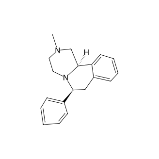 CN1CCN2[C@H](c3ccccc3)Cc3ccccc3[C@@H]2C1